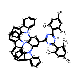 Cc1cc(C)c(-c2nc(-c3cc(-n4c5ccccc5c5ccccc54)c(-n4c5ccccc5c5ccccc54)c(-n4c5ccccc5c5ccccc54)c3)nc(-c3c(C)cc(C)cc3C)n2)c(C)c1